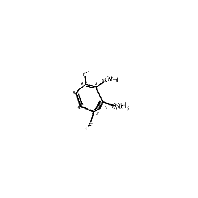 Nc1c(F)ccc(F)c1O